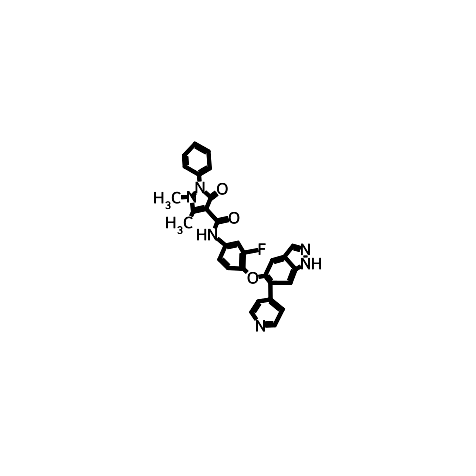 Cc1c(C(=O)Nc2ccc(Oc3cc4cn[nH]c4cc3-c3ccncc3)c(F)c2)c(=O)n(-c2ccccc2)n1C